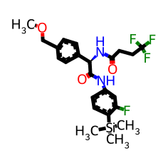 COCc1ccc([C@@H](NC(=O)CCC(F)(F)F)C(=O)Nc2ccc([Si](C)(C)C)c(F)c2)cc1